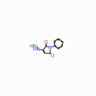 CCCCNC1=CC(=O)N(c2ccccc2)C1=O